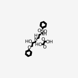 O=C(O)C(=O)O.O=S(=O)(NCCNCC(O)COc1ccccc1)c1ccccc1